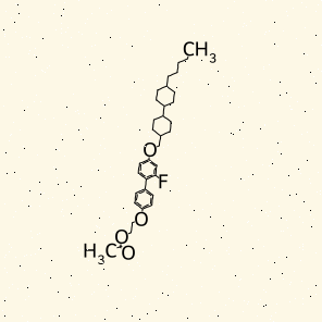 CCCCCC1CCC(C2CCC(COc3ccc(-c4ccc(OCCOC(C)=O)cc4)c(F)c3)CC2)CC1